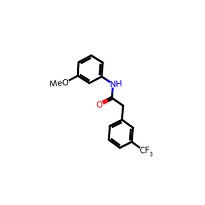 COc1cccc(NC(=O)Cc2cccc(C(F)(F)F)c2)c1